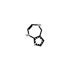 C1=CNc2sccc2CN1